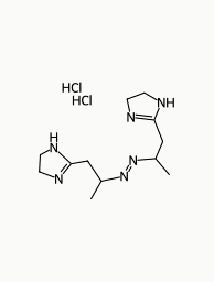 CC(CC1=NCCN1)/N=N/C(C)CC1=NCCN1.Cl.Cl